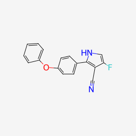 N#Cc1c(F)c[nH]c1-c1ccc(Oc2ccccc2)cc1